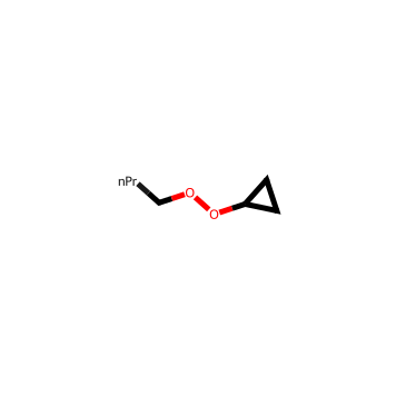 CCCCOOC1CC1